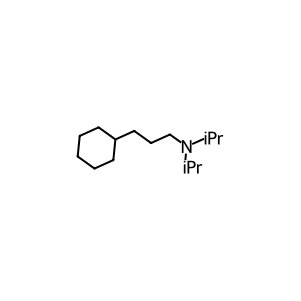 CC(C)N(CCCC1CCCCC1)C(C)C